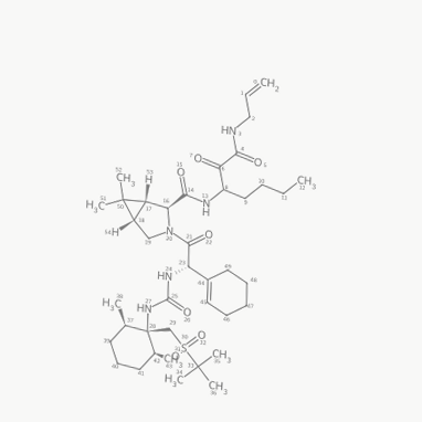 C=CCNC(=O)C(=O)C(CCCC)NC(=O)[C@@H]1[C@@H]2[C@H](CN1C(=O)[C@@H](NC(=O)N[C@@]1(CS(=O)(=O)C(C)(C)C)[C@H](C)CCC[C@@H]1C)C1=CCCCC1)C2(C)C